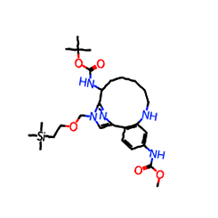 COC(=O)Nc1ccc2c(c1)NCCCCCC(NC(=O)OC(C)(C)C)c1nc-2cn1COCC[Si](C)(C)C